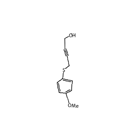 COc1ccc(SCC#CCO)cc1